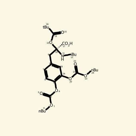 CCCCOC(=O)Oc1ccc(C[C@](NC(C)CC)(OC(=O)C(C)(C)C)C(=O)O)cc1OC(=O)OCCCC